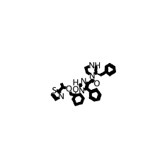 CC(OC[C@]1(O)CCCC[C@H]1n1cnc(C(=O)N2CCNC[C@H]2Cc2ccccc2)c1-c1ccccc1)c1nccs1